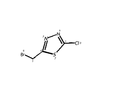 Clc1nnc(CBr)s1